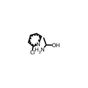 CC(N)O.Clc1ccccn1